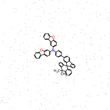 CC1(C)c2ccccc2C2(c3ccccc3-c3ccc(-c4ccc(N(c5ccc6c(c5)oc5ccccc56)c5ccc6oc7ccccc7c6c5)cc4)cc32)c2ccccc21